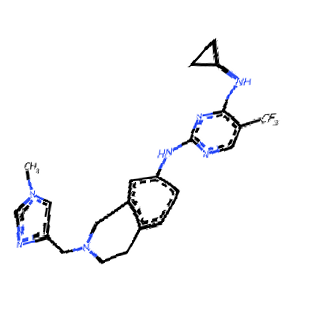 Cn1cnc(CN2CCc3ccc(Nc4ncc(C(F)(F)F)c(NC5CC5)n4)cc3C2)c1